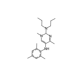 CCCN(CCC)C1N=C(C)C(Nc2c(C)cc(C)cc2C)=CN1C